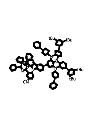 [C-]#[N+]c1ccc(-n2c3ccc(-c4cc5c6c(c4)N(c4ccc(-c7ccccc7)cc4)c4cc(-c7cc(C(C)(C)C)cc(C(C)(C)C)c7)ccc4B6c4ccc(-c6cc(C(C)(C)C)cc(C(C)(C)C)c6)cc4N5c4ccc(-c5ccccc5)cc4)cc3c3ccc(-c4ccccc4)cc32)c(-c2nc(-c3ccccc3)nc(-c3ccccc3)n2)c1